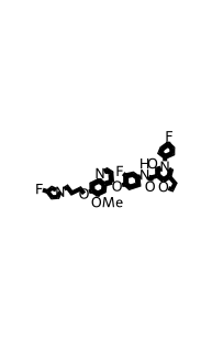 COc1cc2c(Oc3ccc(NC(=O)c4c5c(cn(-c6ccc(F)cc6)c4=O)CCO5)cc3F)ccnc2cc1OCCCN1CCC(F)C1